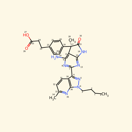 CCCCn1nc(-c2nc(N)c3c(n2)NC(=O)[C@]3(C)c2ccc(CCC(=O)O)cc2)c2ccc(C)nc21